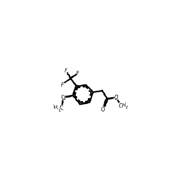 COC(=O)Cc1ccc(OC)c(C(F)(F)F)c1